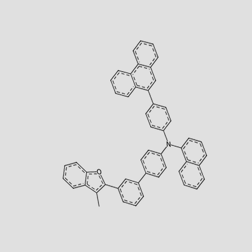 Cc1c(-c2cccc(-c3ccc(N(c4ccc(-c5cc6ccccc6c6ccccc56)cc4)c4cccc5ccccc45)cc3)c2)oc2ccccc12